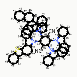 N#Cc1c(-n2c3ccccc3c3ccccc32)c(-n2c3ccccc3c3ccccc32)c(C#N)c(-n2c3cc(-c4c(-c5ccccc5)ccc5ccccc45)ccc3c3c4sc5ccccc5c4ccc32)c1-n1c2ccccc2c2ccccc21